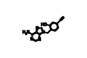 C#Cc1ccc(Cn2cnc3c(N)ncnc32)c(O)c1